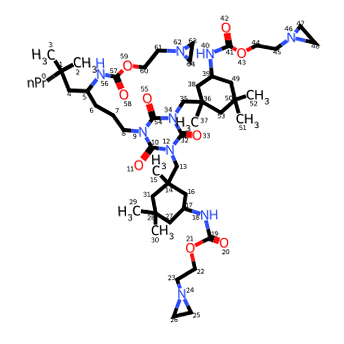 CCCC(C)(C)CC(CCCn1c(=O)n(CC2(C)CC(NC(=O)OCCN3CC3)CC(C)(C)C2)c(=O)n(CC2(C)CC(NC(=O)OCCN3CC3)CC(C)(C)C2)c1=O)NC(=O)OCCN1CC1